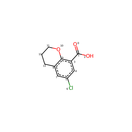 O=C(O)c1cc(Cl)cc2c1OCCC2